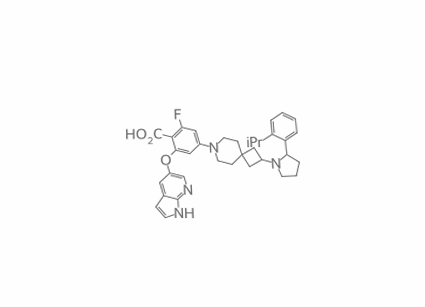 CC(C)c1ccccc1C1CCCN1C1CC2(CCN(c3cc(F)c(C(=O)O)c(Oc4cnc5[nH]ccc5c4)c3)CC2)C1